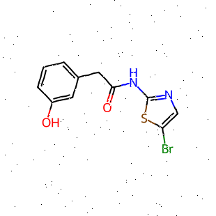 O=C(Cc1cccc(O)c1)Nc1ncc(Br)s1